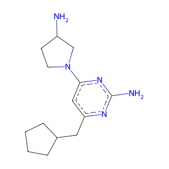 Nc1nc(CC2CCCC2)cc(N2CCC(N)C2)n1